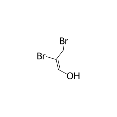 O/C=C(/Br)CBr